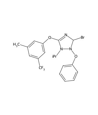 Cc1cc(OC2=NC(Br)N(Oc3ccccc3)N2C(C)C)cc(C(F)(F)F)c1